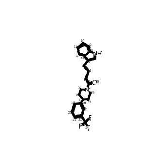 O=C(CCCc1c[nH]c2ccccc12)N1CCC(c2cccc(C(F)(F)F)c2)CC1